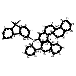 CC1(C)c2ccccc2-c2cc(N(c3ccc4c(ccc5c6ccccc6ccc45)c3)c3ccccc3-c3ccc4ccccc4c3)ccc21